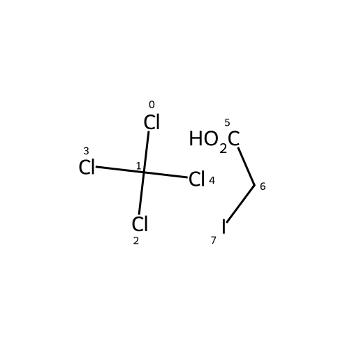 ClC(Cl)(Cl)Cl.O=C(O)CI